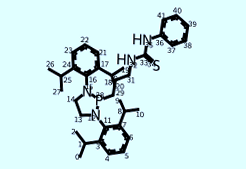 CC(C)c1cccc(C(C)C)c1N1CCN(c2c(C(C)C)cccc2C(C)C)P1CCCNC(=S)Nc1ccccc1